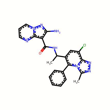 Cc1nnc2c(Cl)cc(C(C)NC(=O)c3c(N)nn4cccnc34)c(-c3ccccc3)n12